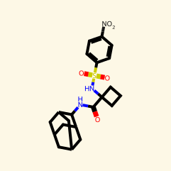 O=C(NC1C2CC3CC(C2)CC1C3)C1(NS(=O)(=O)c2ccc([N+](=O)[O-])cc2)CCC1